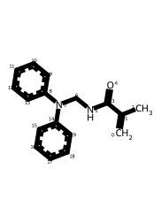 C=C(C)C(=O)NCN(c1ccccc1)c1ccccc1